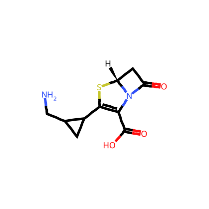 NCC1CC1C1=C(C(=O)O)N2C(=O)C[C@H]2S1